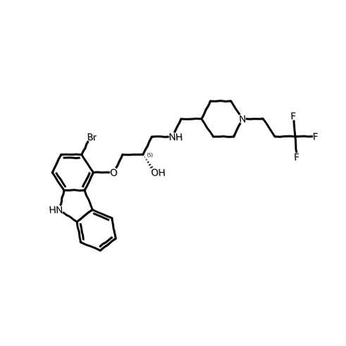 O[C@@H](CNCC1CCN(CCC(F)(F)F)CC1)COc1c(Br)ccc2[nH]c3ccccc3c12